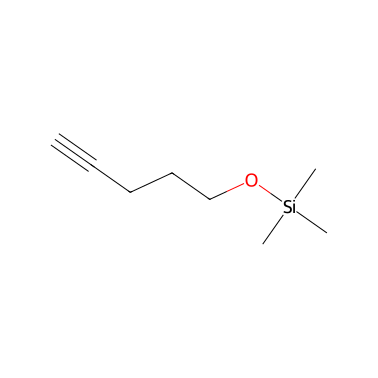 C#CCCCO[Si](C)(C)C